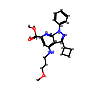 COCCCNc1cc(C(=O)OC)nc2c1c(C1CCC1)nn2-c1ccccc1